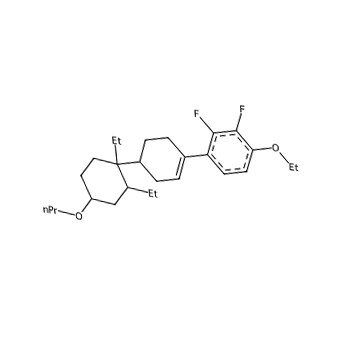 CCCOC1CCC(CC)(C2CC=C(c3ccc(OCC)c(F)c3F)CC2)C(CC)C1